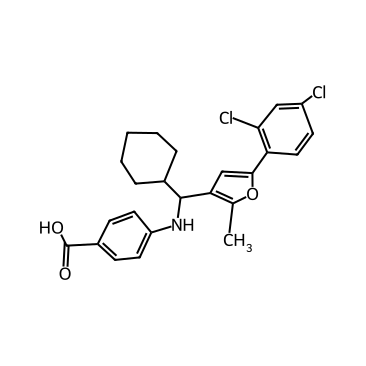 Cc1oc(-c2ccc(Cl)cc2Cl)cc1C(Nc1ccc(C(=O)O)cc1)C1CCCCC1